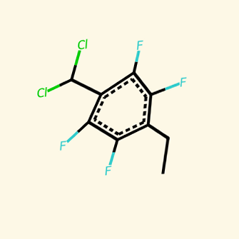 CCc1c(F)c(F)c(C(Cl)Cl)c(F)c1F